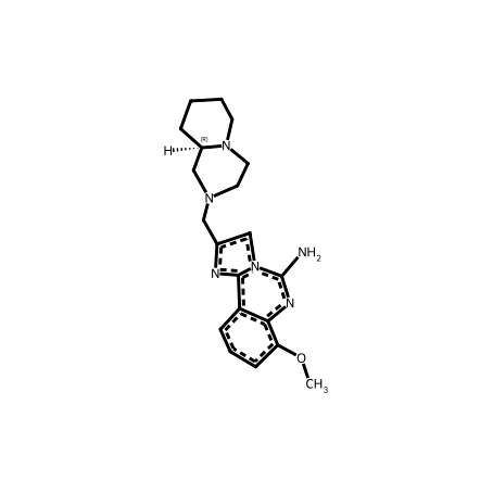 COc1cccc2c1nc(N)n1cc(CN3CCN4CCCC[C@@H]4C3)nc21